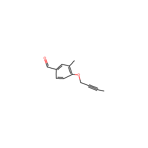 CC#CCOc1ccc(C=O)cc1C